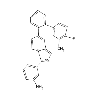 Cc1cc(-c2ncccc2-c2ccn3c(-c4cccc(N)c4)ncc3c2)ccc1F